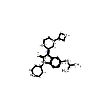 CC(C)Nc1ccc2c(c1)/C(=C1\CN(C3COC3)CCN1)C(=O)N2C1CCOCC1